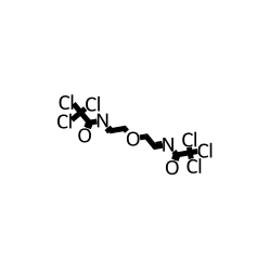 O=C(N=CCOCC=NC(=O)C(Cl)(Cl)Cl)C(Cl)(Cl)Cl